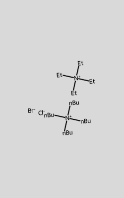 CCCC[N+](CCCC)(CCCC)CCCC.CC[N+](CC)(CC)CC.[Br-].[Cl-]